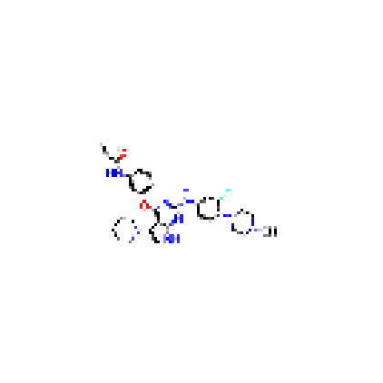 C=CC(=O)Nc1cccc(Oc2nc(Nc3ccc(N4CCN(C)CC4)c(F)c3)nc3[nH]cc(N4CCCCC4)c23)c1